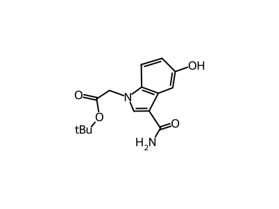 CC(C)(C)OC(=O)Cn1cc(C(N)=O)c2cc(O)ccc21